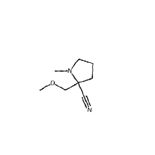 COCC1(C#N)CCCN1C